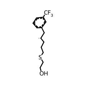 OCCSCCC[CH]Cc1cccc(C(F)(F)F)c1